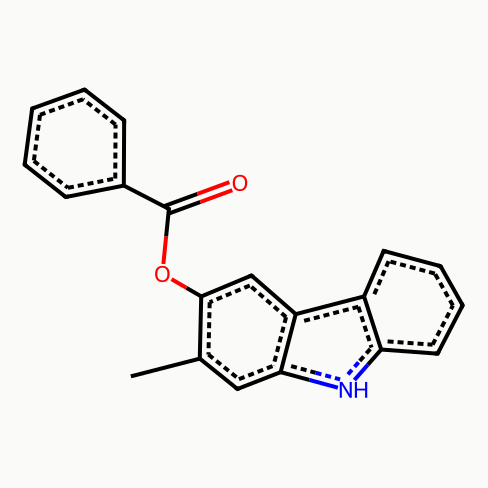 Cc1cc2[nH]c3ccccc3c2cc1OC(=O)c1ccccc1